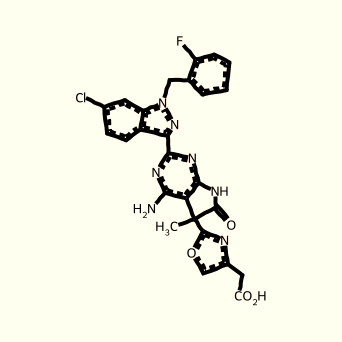 CC1(c2nc(CC(=O)O)co2)C(=O)Nc2nc(-c3nn(Cc4ccccc4F)c4cc(Cl)ccc34)nc(N)c21